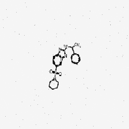 CC(Nc1nc2ccc(S(=O)(=O)N3CCCCC3)cn2n1)c1ccccc1